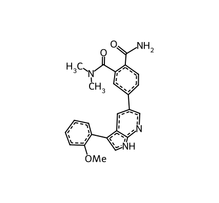 COc1ccccc1-c1c[nH]c2ncc(-c3ccc(C(N)=O)c(C(=O)N(C)C)c3)cc12